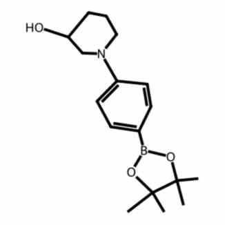 CC1(C)OB(c2ccc(N3CCCC(O)C3)cc2)OC1(C)C